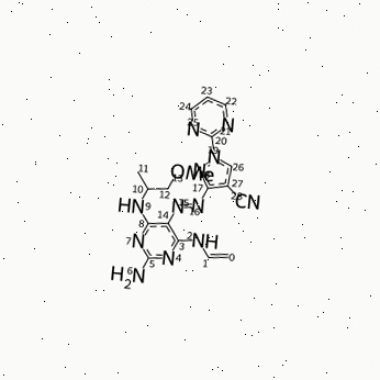 C=CNc1nc(N)nc(NC(C)COC)c1N=Nc1nn(-c2ncccn2)cc1C#N